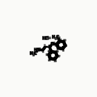 CNCC[C@H](Oc1ccccc1C)c1ccccc1.Cl